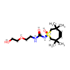 CC1(C)C#CC(C)(C)CS(=O)(=NC(=O)NCCOCCO)C1